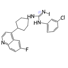 Fc1ccc2nccc(C3CCC(N/C(=N/I)Nc4cccc(Cl)c4)CC3)c2c1